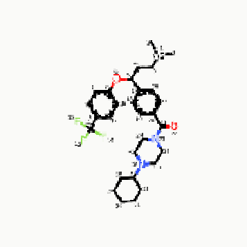 C[As](C)CCC(Oc1ccc(C(F)(F)F)cc1)c1ccc(C(=O)N2CCN(C3CCCCC3)CC2)cc1